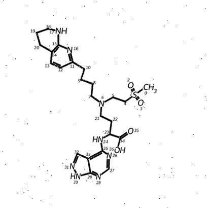 CS(=O)(=O)CCN(CCCCc1ccc2c(n1)NCCC2)CCC(Nc1ncnc2[nH]ncc12)C(=O)O